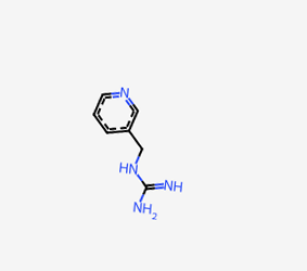 N=C(N)NCc1cccnc1